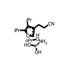 CC(C)c1occ(CCC#N)c1C(C)C.CCCO.NP(O)O